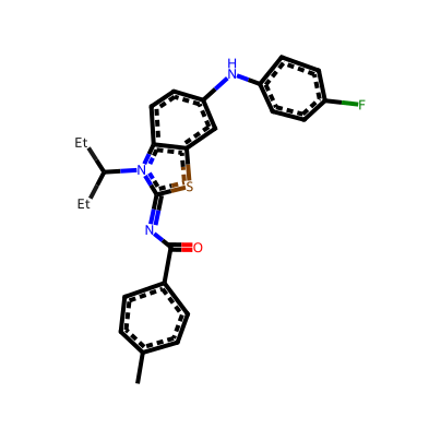 CCC(CC)n1c(=NC(=O)c2ccc(C)cc2)sc2cc(Nc3ccc(F)cc3)ccc21